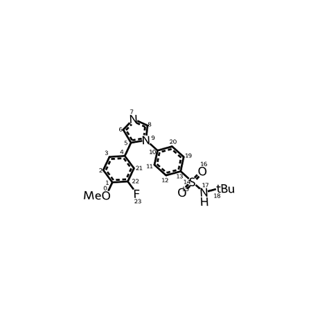 COc1ccc(-c2cncn2-c2ccc(S(=O)(=O)NC(C)(C)C)cc2)cc1F